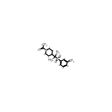 CC(C)(C1CCN(C(=O)C(F)(F)F)CC1)S(=O)(=O)c1cccc(C(F)(F)F)c1